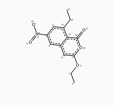 CCOc1nc2cc([N+](=O)[O-])cc(CC)c2c(=O)o1